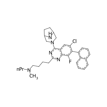 CCCN(C)CCCCc1nc(N2CC3CCC(C2)N3)c2cc(Cl)c(-c3cccc4ccccc34)c(F)c2n1